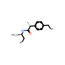 CC(C)Cc1ccc([C@@H](C)C(=O)N[C@@H](CC(C)C)C(=O)O)cc1